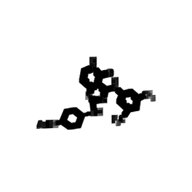 CC(=O)N[C@H]1CC[C@H](Nc2nc(Nc3cc(C(F)(F)F)cc(C(F)(F)F)c3)c3c(=O)[nH]ccc3n2)CC1